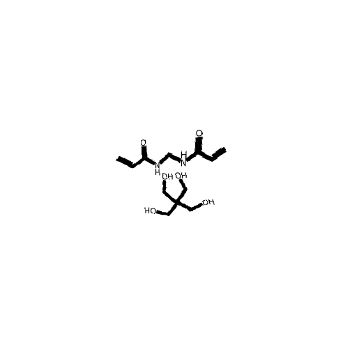 C=CC(=O)NCNC(=O)C=C.OCC(CO)(CO)CO